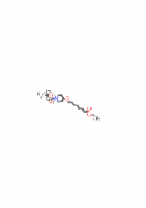 CCOC(=O)CCCCCCCOC1CCN(C(=O)OC(C)(C)C)CC1